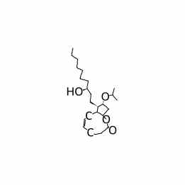 CCCCCCC[C@H](O)CC[C@@H]1C2C/C=C\CCCC(=O)OC2C[C@H]1OC(C)C